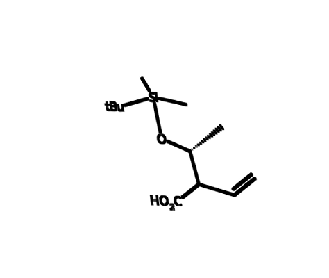 C=CC(C(=O)O)[C@@H](C)O[Si](C)(C)C(C)(C)C